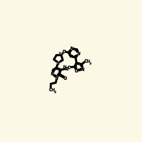 CCCn1ncc(N2CC[C@@H](Oc3cc(-c4c(C)noc4C)ncn3)C2)c(Cl)c1=O